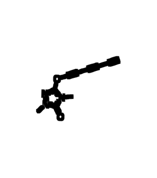 C#CC#CC#COc1nn(C)c(=O)n1C